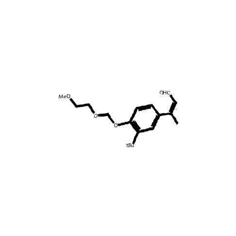 COCCOCOc1ccc(/C(C)=C\C=O)cc1C(C)(C)C